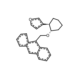 c1ccc2c(CO[C@H]3CCCC[C@@H]3c3ccoc3)c3ccccc3cc2c1